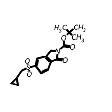 CC(C)(C)OC(=O)N1Cc2cc(S(=O)(=O)CC3CC3)ccc2C1=O